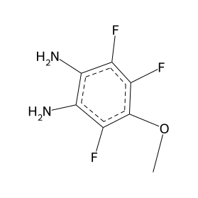 COc1c(F)c(N)c(N)c(F)c1F